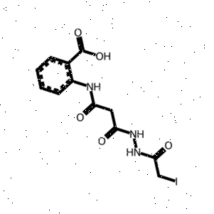 O=C(CI)NNC(=O)CC(=O)Nc1ccccc1C(=O)O